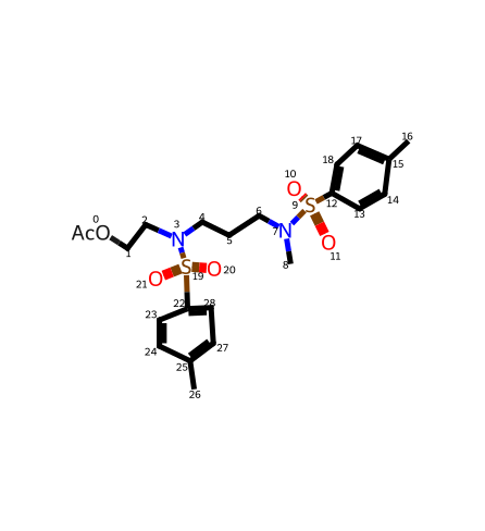 CC(=O)OCCN(CCCN(C)S(=O)(=O)c1ccc(C)cc1)S(=O)(=O)c1ccc(C)cc1